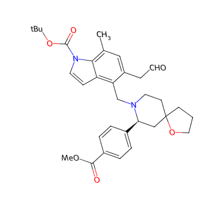 COC(=O)c1ccc([C@@H]2CC3(CCCO3)CCN2Cc2c(CC=O)cc(C)c3c2ccn3C(=O)OC(C)(C)C)cc1